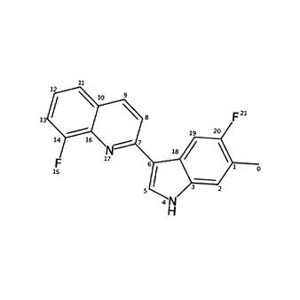 Cc1cc2[nH]cc(-c3ccc4cccc(F)c4n3)c2cc1F